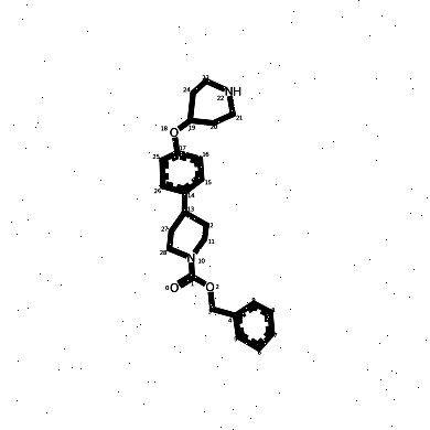 O=C(OCc1ccccc1)N1CCC(c2ccc(OC3CCNCC3)cc2)CC1